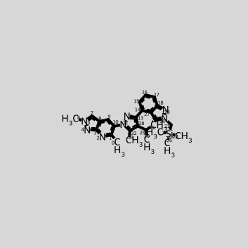 Cc1nc2nn(C)cc2cc1-n1nc(-c2cccc3nn(C[Si](C)(C)C)cc23)c(C(C)C)c1C